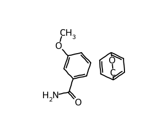 COc1cccc(C(N)=O)c1.c1cc2ccc1CO2